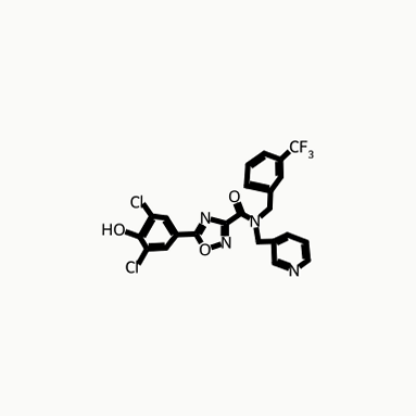 O=C(c1noc(-c2cc(Cl)c(O)c(Cl)c2)n1)N(Cc1cccnc1)Cc1cccc(C(F)(F)F)c1